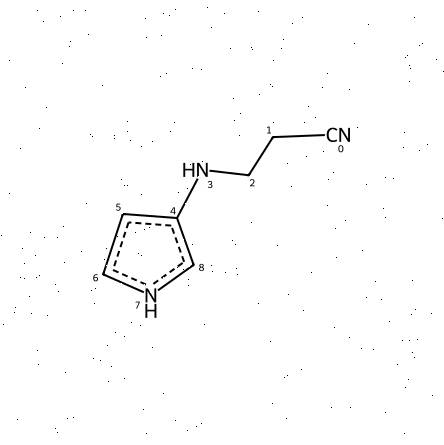 N#CCCNc1cc[nH]c1